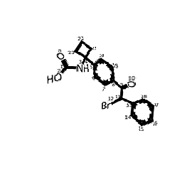 O=C(O)NC1(c2ccc(C(=O)C(Br)c3ccccc3)cc2)CCC1